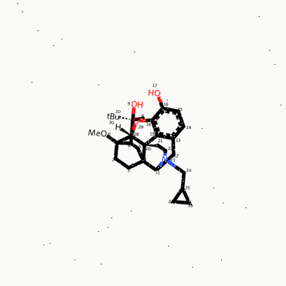 COC12CCC3(CC1[C@](C)(O)C(C)(C)C)C1Cc4ccc(O)c5c4[C@@]3(CCN1CC1CC1)[C@H]2O5